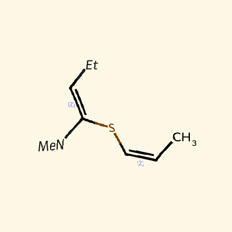 C/C=C\S/C(=C\CC)NC